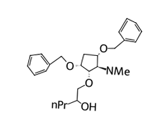 CCCC(O)CO[C@H]1[C@H](NC)[C@@H](OCc2ccccc2)C[C@H]1OCc1ccccc1